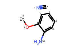 C#N.CCOc1ccccc1N